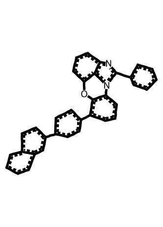 c1ccc(-c2nc3cccc4c3n2-c2cccc(-c3ccc(-c5ccc6ccccc6c5)cc3)c2O4)cc1